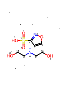 O=S(=O)(O)c1ccon1.OCCNCCO